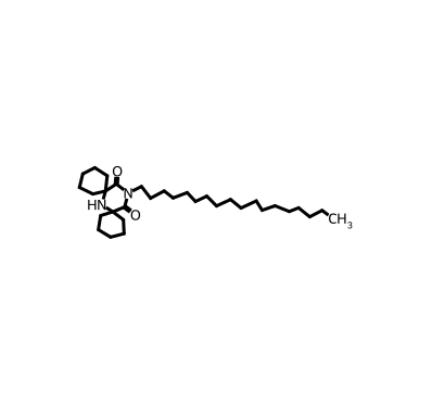 CCCCCCCCCCCCCCCCCCN1C(=O)C2(CCCCC2)NC2(CCCCC2)C1=O